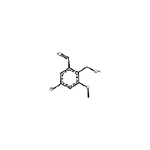 COc1cc(Cl)cc(C=O)c1CO